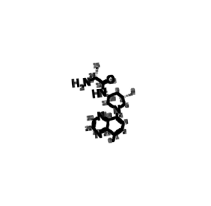 Cc1ccc(N2C[C@@H](C)C[C@@H](NC(=O)[C@@H](C)N)C2)c2nccnc12